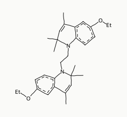 CCOc1ccc2c(c1)C(C)=CC(C)(C)N2CCN1c2ccc(OCC)cc2C(C)=CC1(C)C